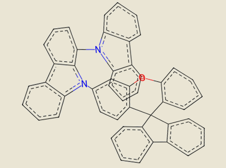 c1ccc2c(c1)Oc1cc(-n3c4ccccc4c4cccc(-n5c6ccccc6c6ccccc65)c43)ccc1C21c2ccccc2-c2ccccc21